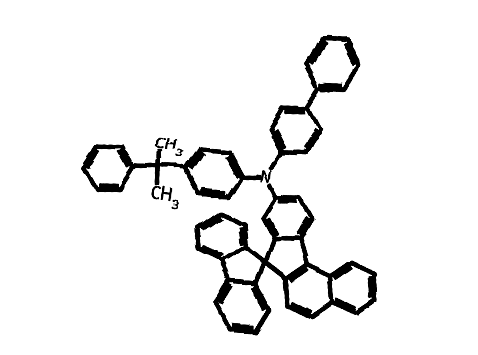 CC(C)(c1ccccc1)c1ccc(N(c2ccc(-c3ccccc3)cc2)c2ccc3c(c2)C2(c4ccccc4-c4ccccc42)c2ccc4ccccc4c2-3)cc1